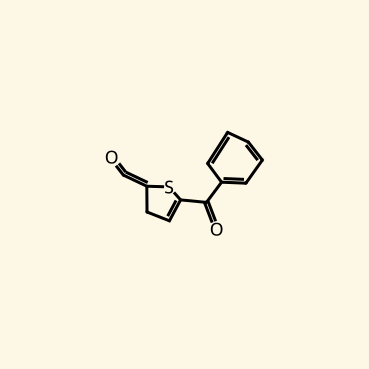 O=C=C1CC=C(C(=O)c2ccccc2)S1